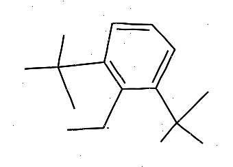 C[CH]c1c(C(C)(C)C)cccc1C(C)(C)C